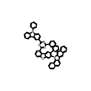 c1ccc(-c2nc(-c3ccc4c(c3)c3ccccc3n4-c3ccccc3)nc(-c3cccc4oc5cc(-n6c7cc8ccccc8cc7c7ccc8ccccc8c76)c(-c6ccccc6)cc5c34)n2)cc1